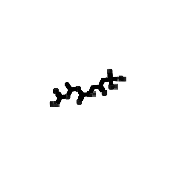 CCCCP(=O)(O)CC(=O)CNC(=O)OC(C)OC(=O)C(C)(C)C